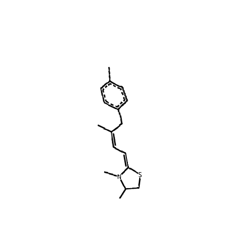 C/C(=C/C=C1/SCC(C)N1C)Cc1ccc(C)cc1